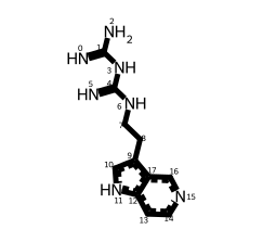 N=C(N)NC(=N)NCCc1c[nH]c2ccncc12